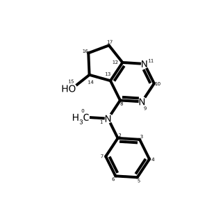 CN(c1ccccc1)c1ncnc2c1C(O)CC2